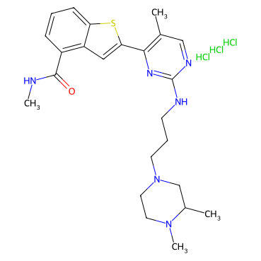 CNC(=O)c1cccc2sc(-c3nc(NCCCN4CCN(C)C(C)C4)ncc3C)cc12.Cl.Cl.Cl